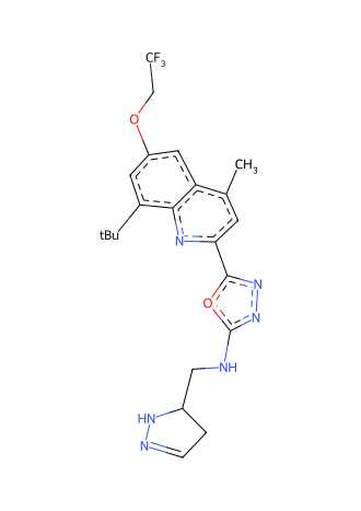 Cc1cc(-c2nnc(NCC3CC=NN3)o2)nc2c(C(C)(C)C)cc(OCC(F)(F)F)cc12